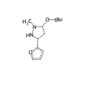 CN1NC(c2ccco2)CC1OC(C)(C)C